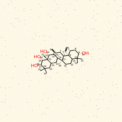 C=CCC1[C@@]2(C=C)CC[C@H](O)C(C)(C)C2CC[C@@]1(C)[C@@]1(C)CC2CC(C)(C)[C@@H](O)[C@H](O)[C@]2(C)[C@H](O)C1